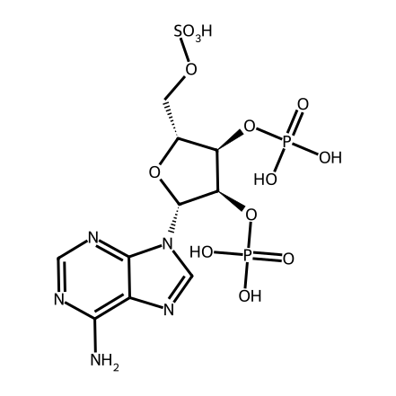 Nc1ncnc2c1ncn2[C@@H]1O[C@H](COS(=O)(=O)O)[C@@H](OP(=O)(O)O)[C@H]1OP(=O)(O)O